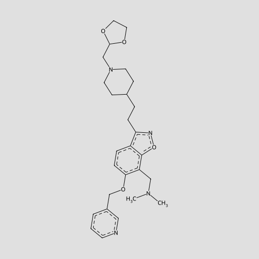 CN(C)Cc1c(OCc2cccnc2)ccc2c(CCC3CCN(CC4OCCO4)CC3)noc12